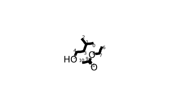 CC(C)CCO.CCOC(C)=O